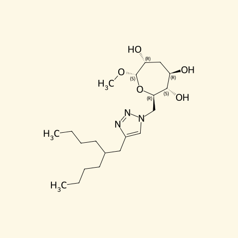 CCCCC(CCCC)Cc1cn(C[C@H]2O[C@H](OC)[C@H](O)C[C@@H](O)[C@@H]2O)nn1